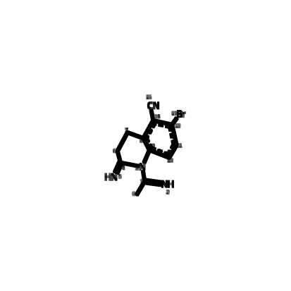 CC(=N)N1C(=N)CCc2c1ccc(Br)c2C#N